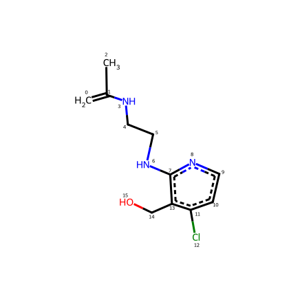 C=C(C)NCCNc1nccc(Cl)c1CO